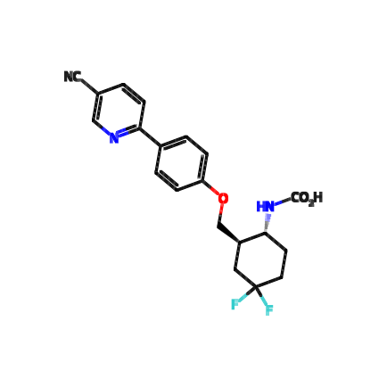 N#Cc1ccc(-c2ccc(OC[C@@H]3CC(F)(F)CC[C@H]3NC(=O)O)cc2)nc1